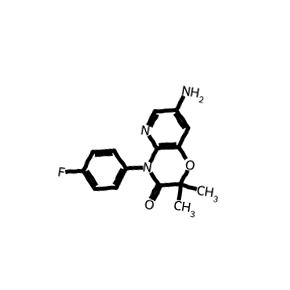 CC1(C)Oc2cc(N)cnc2N(c2ccc(F)cc2)C1=O